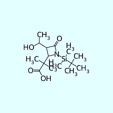 CC(O)C1C(=O)N([Si](C)(C)C(C)(C)C)C1C(C)(C)C(=O)O